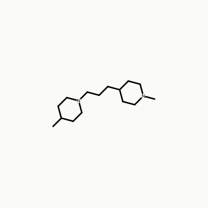 CC1CCN(CCCC2CCN(C)CC2)CC1